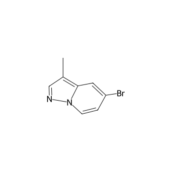 Cc1cnn2ccc(Br)cc12